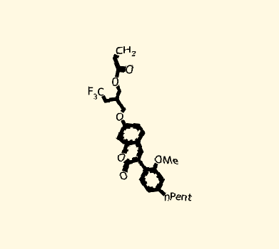 C=CC(=O)OCC(COc1ccc2cc(-c3ccc(CCCCC)cc3OC)c(=O)oc2c1)CC(F)(F)F